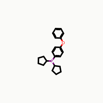 c1ccc(Oc2ccc(P(C3CCCC3)C3CCCC3)cc2)cc1